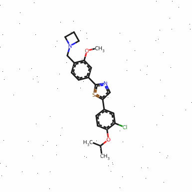 COc1cc(-c2ncc(-c3ccc(OC(C)C)c(Cl)c3)s2)ccc1CN1CCC1